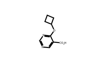 O=C(O)c1cn[c]nc1OC1CCC1